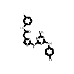 Cc1nc(Nc2ccc(Cl)cc2)nc(Nc2ncc(CC(=O)Nc3cccc(F)c3)s2)n1